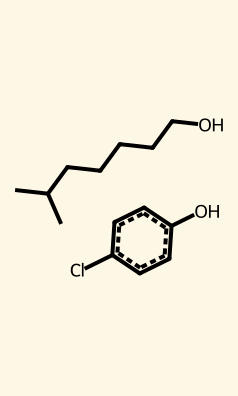 CC(C)CCCCCO.Oc1ccc(Cl)cc1